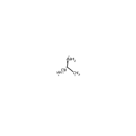 C[CH2][AlH2].Cl.[HH]